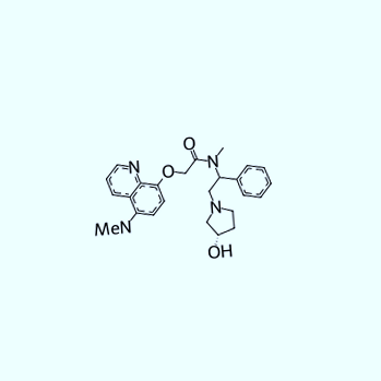 CNc1ccc(OCC(=O)N(C)C(CN2CC[C@H](O)C2)c2ccccc2)c2ncccc12